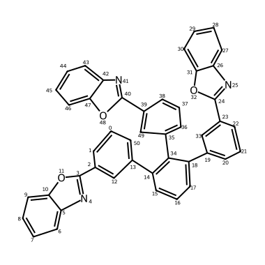 c1cc(-c2nc3ccccc3o2)cc(-c2cccc(-c3cccc(-c4nc5ccccc5o4)c3)c2-c2cccc(-c3nc4ccccc4o3)c2)c1